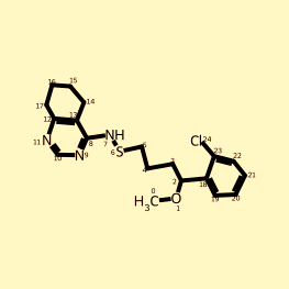 COC(CCCSNc1ncnc2c1CCCC2)c1ccccc1Cl